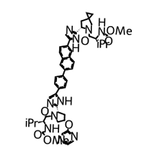 COC(=O)N[C@H](C(=O)N1CC(Oc2cnccn2)C[C@H]1c1ncc(-c2ccc(-c3ccc4cc(-c5cnc([C@@H]6CC7(CC7)CN6C(=O)[C@@H](NC(=O)OC)C(C)C)[nH]5)ccc4c3)cc2)[nH]1)C(C)C